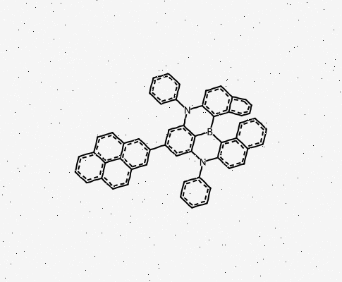 c1ccc(N2c3cc(-c4cc5ccc6cccc7ccc(c4)c5c67)cc4c3B(c3c2ccc2ccccc32)c2c(ccc3ccccc23)N4c2ccccc2)cc1